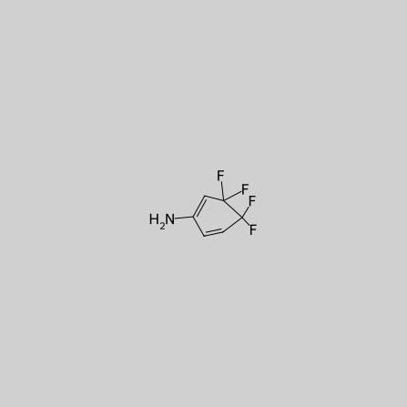 NC1=CC(F)(F)C(F)(F)C=C1